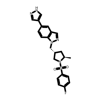 C[C@@H]1C[C@@H](Cn2ncc3cc(-c4cn[nH]c4)ccc32)CN1S(=O)(=O)c1ccc(F)cc1